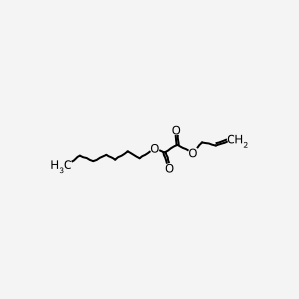 C=CCOC(=O)C(=O)OCCCCCCC